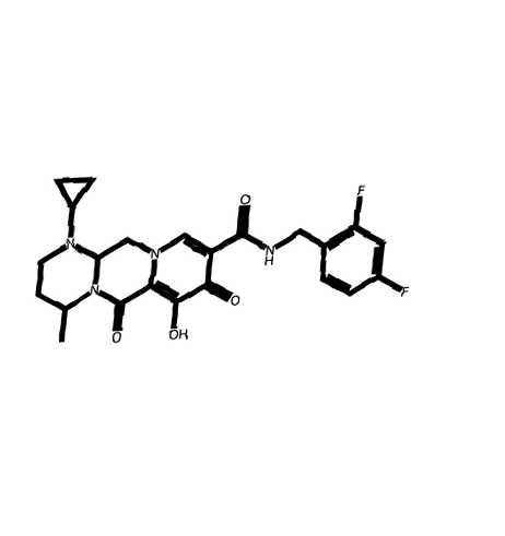 CC1CCN(C2CC2)C2Cn3cc(C(=O)NCc4ccc(F)cc4F)c(=O)c(O)c3C(=O)N12